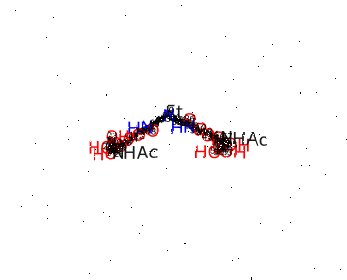 CCN(CCCCCC(=O)NCCOCCOCCO[C@@H]1OC(CO)[C@H](O)[C@H](O)C1NC(C)=O)CCCCCC(=O)NCCOCCOCCO[C@@H]1OC(CO)[C@H](O)[C@H](O)C1NC(C)=O